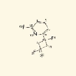 FC1(F)CC(F)(c2cccc(I)n2)C1